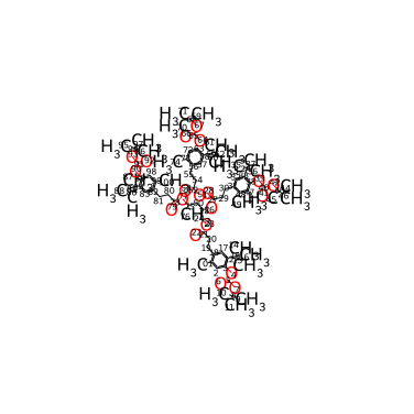 Cc1cc(OC(=O)OC(C)(C)C)c(C(C)(C)C)cc1CCC(=O)OCC(OC(=O)CCc1cc(C(C)(C)C)c(OC(=O)OC(C)(C)C)cc1C)C(OC(=O)CCc1cc(C(C)(C)C)c(OC(=O)OC(C)(C)C)cc1C)C(C)OC(=O)CCc1cc(C(C)(C)C)c(OC(=O)OC(C)(C)C)cc1C